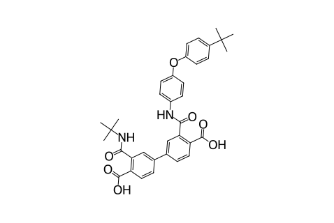 CC(C)(C)NC(=O)c1cc(-c2ccc(C(=O)O)c(C(=O)Nc3ccc(Oc4ccc(C(C)(C)C)cc4)cc3)c2)ccc1C(=O)O